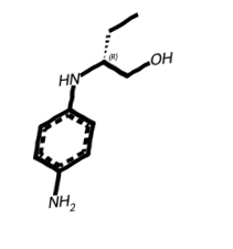 CC[C@H](CO)Nc1ccc(N)cc1